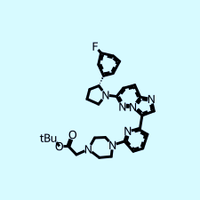 CC(C)(C)OC(=O)CN1CCN(c2cccc(-c3cnc4ccc(N5CCC[C@@H]5c5cccc(F)c5)nn34)n2)CC1